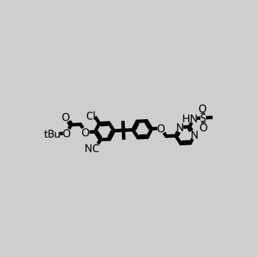 CC(C)(C)OC(=O)COc1c(Cl)cc(C(C)(C)c2ccc(OCc3ccnc(NS(C)(=O)=O)n3)cc2)cc1C#N